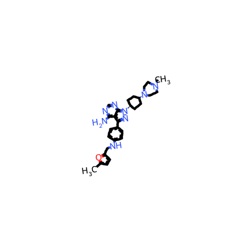 Cc1ccc(CNc2ccc(-c3nn([C@H]4CC[C@@H](N5CCN(C)CC5)CC4)c4ncnc(N)c34)cc2)o1